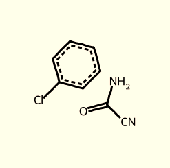 Clc1ccccc1.N#CC(N)=O